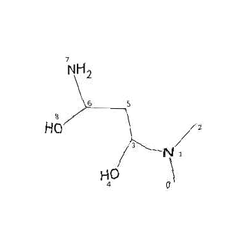 CN(C)C(O)CC(N)O